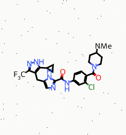 CNC1CCN(C(=O)c2ccc(NC(=O)c3ncc(Cc4c(C(F)(F)F)n[nH]c4C4CC4)[nH]3)cc2Cl)CC1